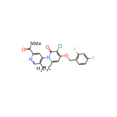 CNC(=O)c1cc(-n2c(C)cc(OCc3ccc(F)cc3F)c(Cl)c2=O)c(C)cn1